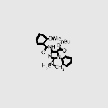 CCCCOC(=O)c1c(NC(=O)c2ccccc2OC)nc(N(C)C)n1-c1ccccc1